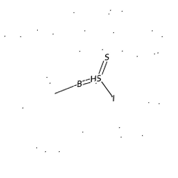 CB=[SH](=S)I